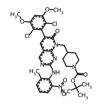 COc1cc(OC)c(Cl)c(-c2cc3cnc(Nc4c(C)cccc4[N+](=O)[O-])nc3n(CC3CCN(C(=O)OC(C)(C)C)CC3)c2=O)c1Cl